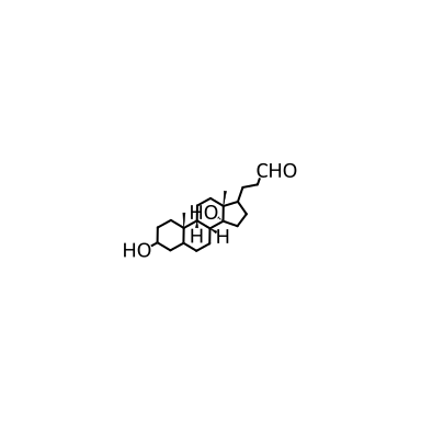 C[C@]12CCC(O)CC1CC[C@@H]1[C@H]2CC[C@]2(C)C(CCC=O)CC[C@@]12O